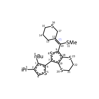 CCCCc1c(C(C)C)csc1-c1sc(/C(SC)=C2\CCCSC2)c2c1SCCS2